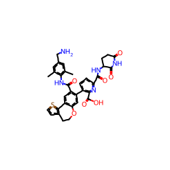 Cc1cc(CN)cc(C)c1NC(=O)c1cc2c(cc1-c1ccc(C(=O)NC3CCC(=O)NC3=O)nc1C(=O)O)OCCc1ccsc1-2